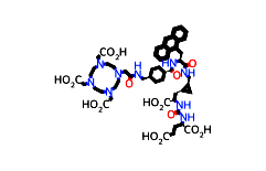 O=C(O)CC[C@H](NC(=O)N[C@@H](C[C@H]1C[C@@H]1CNC(=O)[C@H](Cc1c2ccccc2cc2ccccc12)NC(=O)[C@H]1CC[C@H](CNC(=O)CN2CCN(CC(=O)O)CCN(CC(=O)O)CCN(CC(=O)O)CC2)CC1)C(=O)O)C(=O)O